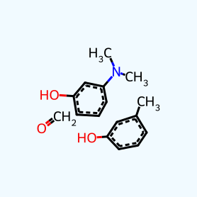 C=O.CN(C)c1cccc(O)c1.Cc1cccc(O)c1